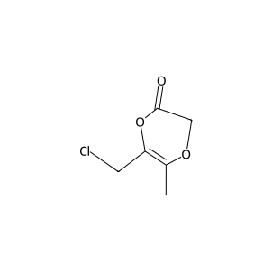 CC1=C(CCl)OC(=O)CO1